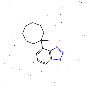 CC1(c2cccc3c2N=N[N]3)CCCCCCC1